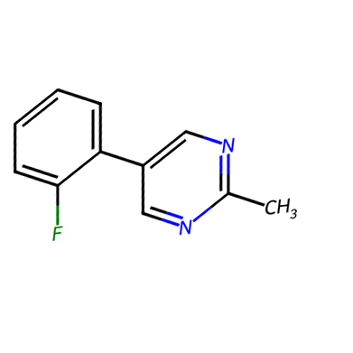 Cc1ncc(-c2ccccc2F)cn1